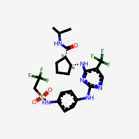 CC(C)NC(=O)[C@H]1CCC[C@H]1Nc1nc(Nc2ccc(NS(=O)(=O)CC(F)(F)F)cc2)ncc1C(F)(F)F